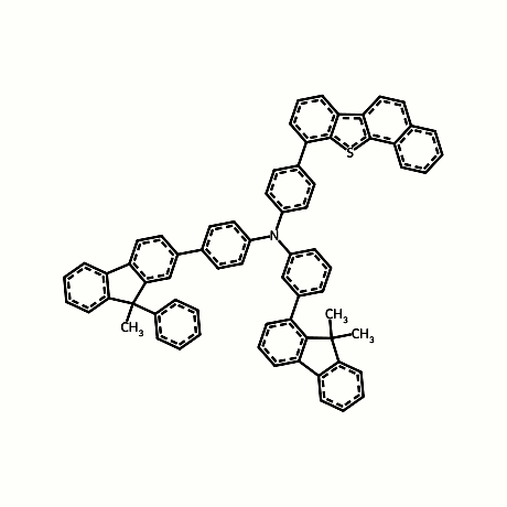 CC1(C)c2ccccc2-c2cccc(-c3cccc(N(c4ccc(-c5ccc6c(c5)C(C)(c5ccccc5)c5ccccc5-6)cc4)c4ccc(-c5cccc6c5sc5c7ccccc7ccc65)cc4)c3)c21